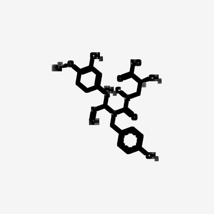 CC[C@@H](C)OC1=C(C)C=C(NC(N=N)N(Cc2ccc(C)cc2)C(=O)N(C)C[C@H](C)C(=O)N=O)CC1